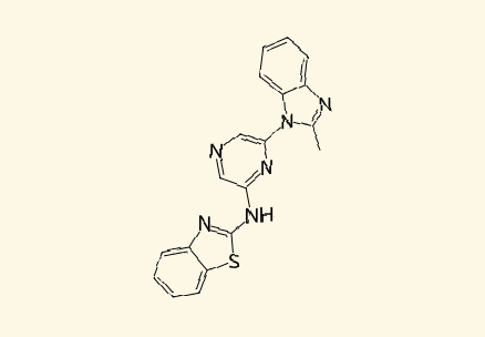 Cc1nc2ccccc2n1-c1cncc(Nc2nc3ccccc3s2)n1